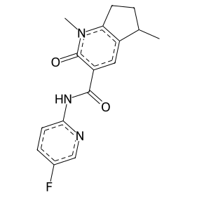 CC1CCc2c1cc(C(=O)Nc1ccc(F)cn1)c(=O)n2C